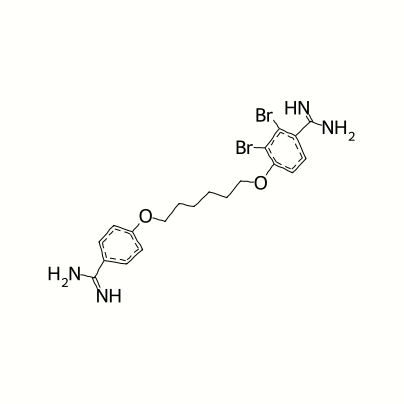 N=C(N)c1ccc(OCCCCCCOc2ccc(C(=N)N)c(Br)c2Br)cc1